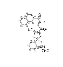 CN(CC(=O)N1CC(C)(c2ccccc2NC=O)CC1C#N)C(=O)c1ccc2ccccc2c1